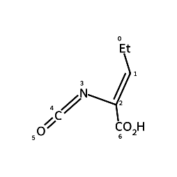 CCC=C(N=C=O)C(=O)O